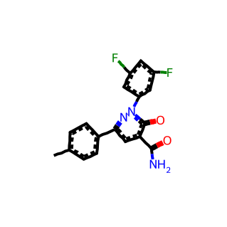 Cc1ccc(-c2cc(C(N)=O)c(=O)n(-c3cc(F)cc(F)c3)n2)cc1